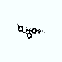 NS(=O)(=O)c1ccc(C2(O)C(=O)N(Cc3ccc(F)cc3)c3ccccc32)cc1